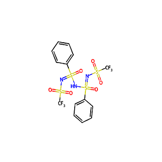 O=S(=O)(N=S(=O)(NS(=O)(=NS(=O)(=O)C(F)(F)F)c1ccccc1)c1ccccc1)C(F)(F)F